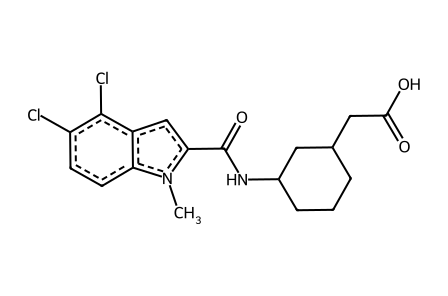 Cn1c(C(=O)NC2CCCC(CC(=O)O)C2)cc2c(Cl)c(Cl)ccc21